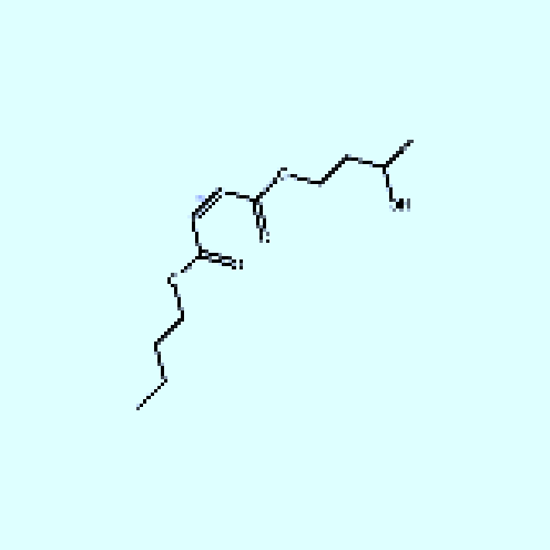 CCCCOC(=O)/C=C\C(=O)OCCC(C)O